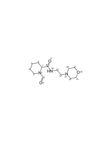 O=CN1CCCCC1C(=O)NCCN1CCOCC1